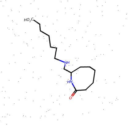 O=C(O)CCCCCCNCC1CCCCCC(=O)N1